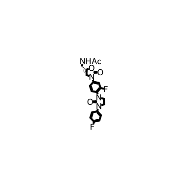 CC(=O)NC[C@H]1CN(c2ccc(N3CCN(c4ccc(F)cc4)C3=O)c(F)c2)C(=O)O1